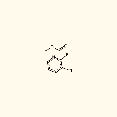 COC=O.Clc1cccnc1Br